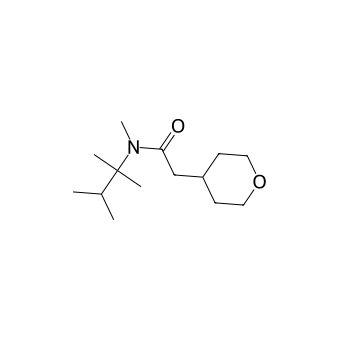 CC(C)C(C)(C)N(C)C(=O)CC1CCOCC1